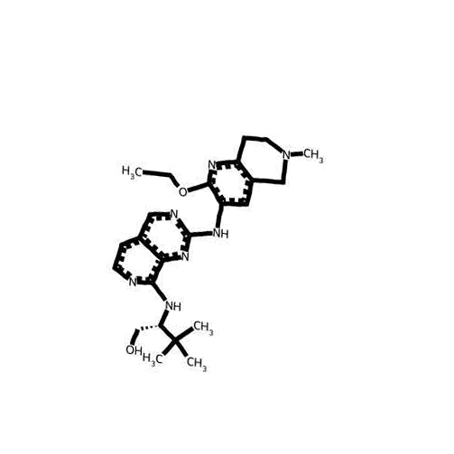 CCOc1nc2c(cc1Nc1ncc3ccnc(N[C@@H](CO)C(C)(C)C)c3n1)CN(C)CC2